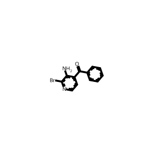 Nc1c(C(=O)c2ccccc2)ccnc1Br